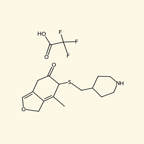 CC1=C2COC=C2CC(=O)C1SCC1CCNCC1.O=C(O)C(F)(F)F